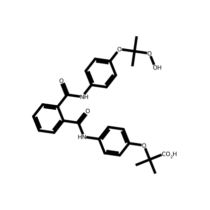 CC(C)(OO)Oc1ccc(NC(=O)c2ccccc2C(=O)Nc2ccc(OC(C)(C)C(=O)O)cc2)cc1